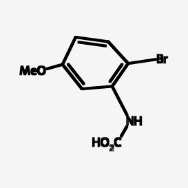 COc1ccc(Br)c(NC(=O)O)c1